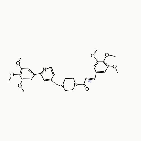 COc1cc(/C=C/C(=O)N2CCN(Cc3ccnc(-c4cc(OC)c(OC)c(OC)c4)c3)CC2)cc(OC)c1OC